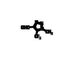 Cn1nnc(C=O)c1C(F)(F)F